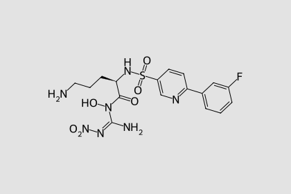 NCCC[C@@H](NS(=O)(=O)c1ccc(-c2cccc(F)c2)nc1)C(=O)N(O)/C(N)=N\[N+](=O)[O-]